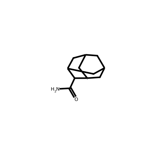 NC(=O)C1[C]2CC3CC(C2)CC1C3